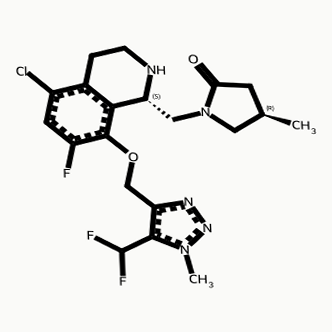 C[C@@H]1CC(=O)N(C[C@H]2NCCc3c(Cl)cc(F)c(OCc4nnn(C)c4C(F)F)c32)C1